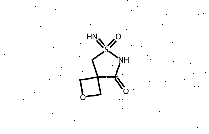 N=S1(=O)CC2(COC2)C(=O)N1